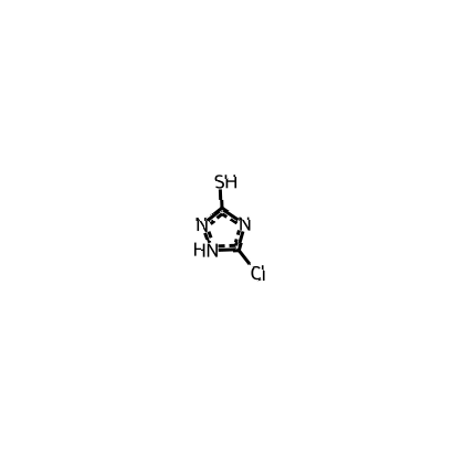 Sc1n[nH]c(Cl)n1